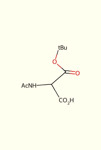 CC(=O)NC(C(=O)O)C(=O)OC(C)(C)C